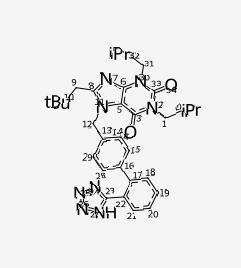 CC(C)Cn1c(=O)c2c(nc(CC(C)(C)C)n2Cc2ccc(-c3ccccc3-c3nnn[nH]3)cc2)n(CC(C)C)c1=O